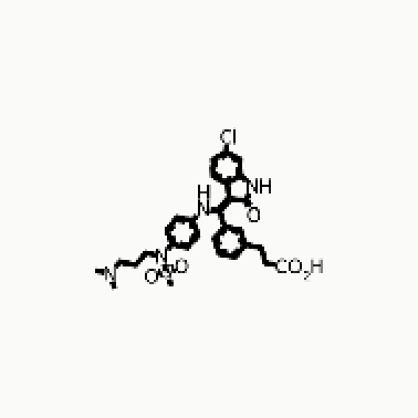 CN(C)CCCN(c1ccc(NC(=C2C(=O)Nc3cc(Cl)ccc32)c2cccc(CCC(=O)O)c2)cc1)S(C)(=O)=O